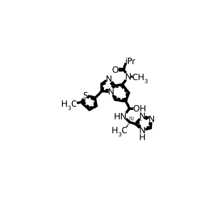 Cc1ccc(-c2cnc3c(N(C)C(=O)C(C)C)cc(C(O)N[C@@H](C)c4nnc[nH]4)cn23)s1